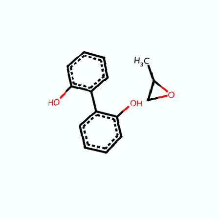 CC1CO1.Oc1ccccc1-c1ccccc1O